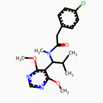 COc1ncnc(OC)c1C(C(C)C)N(C)C(=O)Cc1ccc(Cl)cc1